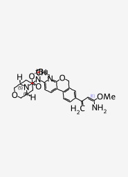 C=C(/C=C(\N)OC)c1ccc2c(c1)COc1nc(N(C)C3C[C@H]4COC[C@@H](C3)N4C(=O)OC(C)(C)C)ccc1-2